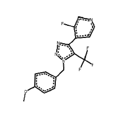 COc1ccc(Cn2nnc(-c3ccncc3F)c2C(F)(F)F)cc1